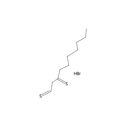 Br.CCCCCCCC(=S)CC=S